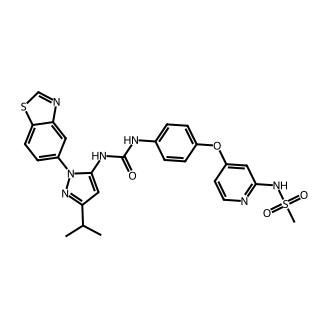 CC(C)c1cc(NC(=O)Nc2ccc(Oc3ccnc(NS(C)(=O)=O)c3)cc2)n(-c2ccc3scnc3c2)n1